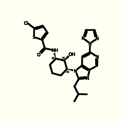 CC(C)Cc1nc2cnc(-n3nccn3)cc2n1[C@@H]1CCC[C@H](NC(=O)c2ccc(Cl)s2)[C@H]1O